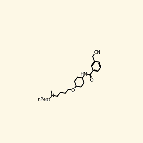 CCCCCN(C)CCCCOC1CCC(NC(=O)c2cccc(CC#N)c2)CC1